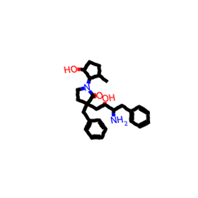 CC1CCC(O)C1N1CCC(Cc2ccccc2)(CC(O)C(N)Cc2ccccc2)C1=O